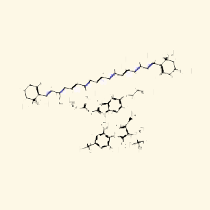 CC1=C(/C=C/C(C)=C/C=C/C(C)=C/C=C/C=C(C)/C=C/C=C(C)/C=C/C2=C(C)C[C@@H](O)CC2(C)C)C(C)(C)CCC1.CCCSc1ccc2[nH]c(NC(=O)OC)nc2c1.N#Cc1nn(-c2c(Cl)cc(C(F)(F)F)cc2Cl)c(N)c1[S+]([O-])C(F)(F)F